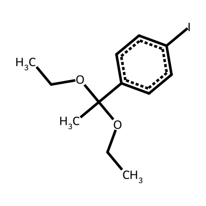 CCOC(C)(OCC)c1ccc(I)cc1